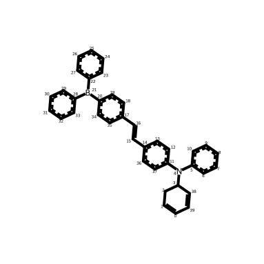 C1=CCC(N(c2ccccc2)c2ccc(/C=C/c3ccc(B(c4ccccc4)c4ccccc4)cc3)cc2)C=C1